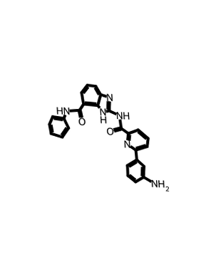 Nc1cccc(-c2cccc(C(=O)Nc3nc4cccc(C(=O)Nc5ccccc5)c4[nH]3)n2)c1